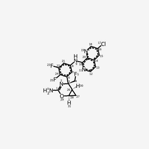 NC1=N[C@](CF)(c2cc(Nc3nccc4cc(Cl)cnc34)cc(F)c2F)[C@H]2C[C@H]2O1